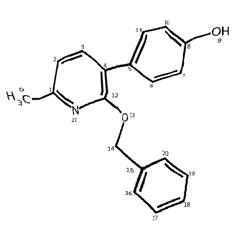 Cc1ccc(-c2ccc(O)cc2)c(OCc2ccccc2)n1